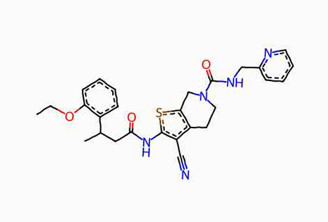 CCOc1ccccc1C(C)CC(=O)Nc1sc2c(c1C#N)CCN(C(=O)NCc1ccccn1)C2